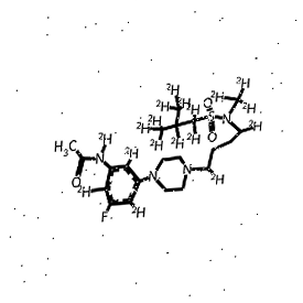 [2H]c1c(F)c([2H])c(N([2H])C(C)=O)c([2H])c1N1CCN(C([2H])CCC([2H])N(C([2H])([2H])[2H])S(=O)(=O)C([2H])([2H])C([2H])(C([2H])([2H])[2H])C([2H])([2H])[2H])CC1